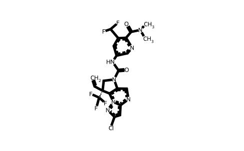 C=C[C@@]1(C(F)(F)F)CN(C(=O)Nc2cnc(C(=O)N(C)C)c(C(F)F)c2)c2cnc3cc(Cl)nn3c21